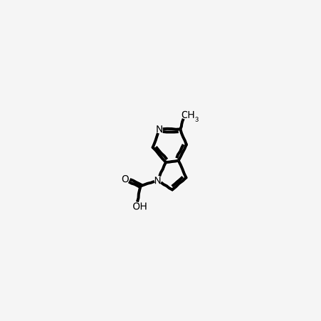 Cc1cc2ccn(C(=O)O)c2cn1